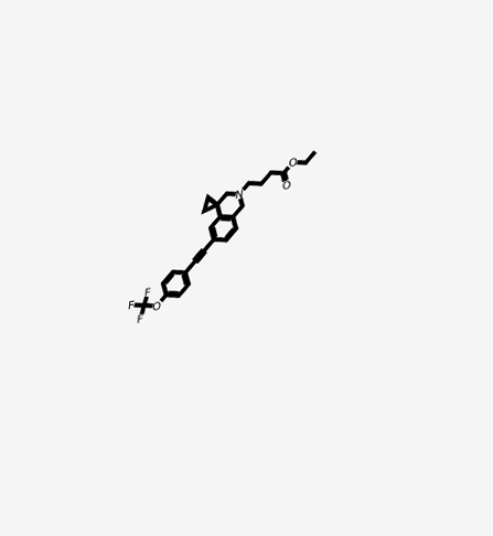 CCOC(=O)CCCN1Cc2ccc(C#Cc3ccc(OC(F)(F)F)cc3)cc2C2(CC2)C1